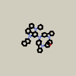 c1ccc(N(c2ccccc2)c2cc(N(c3ccc4c5ccccc5n(-c5ccccc5)c4c3)c3ccc4c5ccccc5n(-c5ccccc5)c4c3)cc3c2c2ccccc2n3-c2ccc3ccccc3c2)cc1